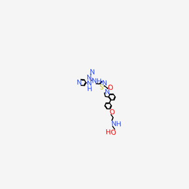 N#C/N=C(\NCc1cnc(C(=O)N2CCc3c(-c4cccc(OCCCNCCO)c4)cccc32)s1)Nc1ccncc1